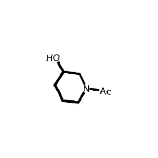 CC(=O)N1CCCC(O)C1